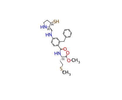 COC(=O)[C@H](CCSC)NC(=O)c1ccc(NC[C@H]2NCC[C@H]2S)cc1Cc1ccccc1